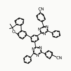 CC1(C)Oc2ccc(-c3cc(-c4nc(-c5ccccc5)nc(-c5ccc(C#N)cc5)n4)cc(-c4nc(-c5ccccc5)nc(-c5ccc(C#N)cc5)n4)c3)cc2-c2ccccc21